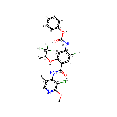 COc1ncc(C)c(NC(=O)c2cc(F)c(NC(=O)Oc3ccccc3)cc2O[C@@H](C)C(F)(F)F)c1Cl